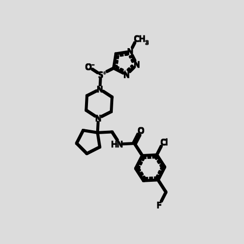 Cn1cc([S+]([O-])N2CCN(C3(CNC(=O)c4ccc(CF)cc4Cl)CCCC3)CC2)nn1